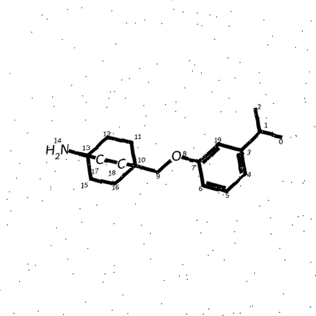 CC(C)c1cccc(OCC23CCC(N)(CC2)CC3)c1